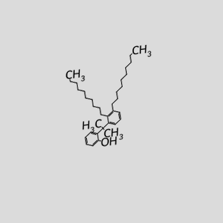 CCCCCCCCCCc1cccc(C(C)(C)c2ccccc2O)c1CCCCCCCCCC